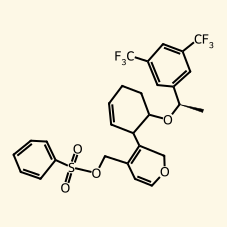 C[C@@H](OC1CCC=CC1C1=C(COS(=O)(=O)c2ccccc2)C=COC1)c1cc(C(F)(F)F)cc(C(F)(F)F)c1